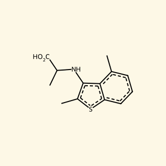 Cc1sc2cccc(C)c2c1NC(C)C(=O)O